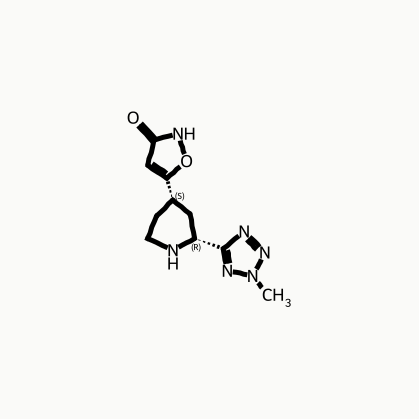 Cn1nnc([C@H]2C[C@@H](c3cc(=O)[nH]o3)CCN2)n1